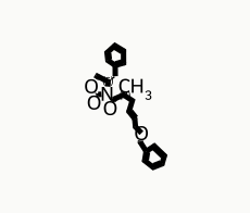 C[C@H](CC=CCOCc1ccccc1)C(=O)N1C(=O)OC[C@@H]1Cc1ccccc1